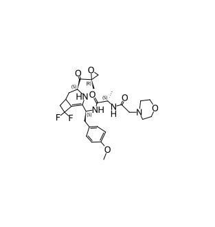 COc1ccc(C[C@H](NC(=O)[C@H](C)NC(=O)CN2CCOCC2)C2=C3C(C[C@@H](C(=O)[C@@]4(C)CO4)N2)CC3(F)F)cc1